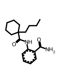 CCCCC1(C(=O)Nc2ccccc2C(N)=O)CCCCC1